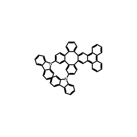 c1ccc2c(c1)-c1ccc(-n3c4ccccc4c4ccccc43)cc1-c1cc(-n3c4ccccc4c4ccccc43)ccc1-c1cc3c4ccccc4c4ccccc4c3cc1-2